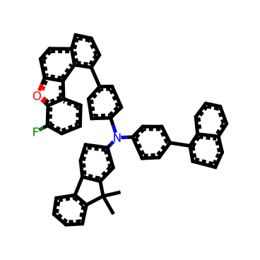 CC1(C)c2ccccc2-c2ccc(N(c3ccc(-c4cccc5ccccc45)cc3)c3ccc(-c4cccc5ccc6oc7c(F)cccc7c6c45)cc3)cc21